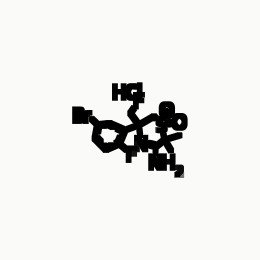 CC1(C)C(N)=NC(CF)(c2cc(Br)ccc2F)CS1(=O)=O.Cl